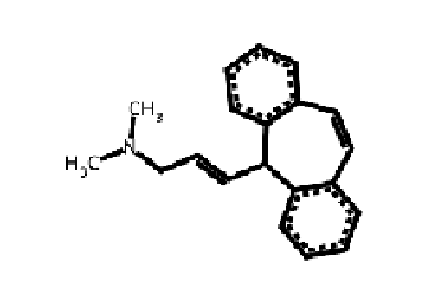 CN(C)CC=CC1c2ccccc2C=Cc2ccccc21